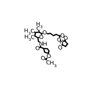 CC(=O)OC1CCC(C(=O)NCC2OC(OCCCCC(=O)ON3C(=O)CCC3=O)C(C)C(C)C2C)C1